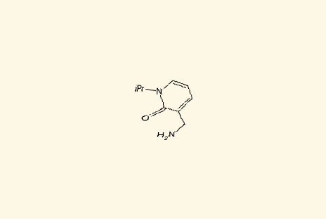 CC(C)n1cccc(CN)c1=O